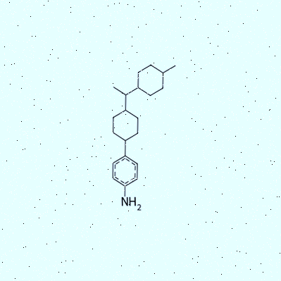 CC1CCC(C(C)C2CCC(c3ccc(N)cc3)CC2)CC1